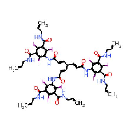 C=CCNC(=O)c1c(I)c(NC(=O)/C=C/C(/C=C/C(=O)Nc2c(I)c(C(=O)NCC=C)c(I)c(C(=O)NCC=C)c2I)/C=C/C(=O)Nc2c(I)c(C(=O)NCC=C)c(I)c(C(=O)NCC=C)c2I)c(I)c(C(=O)NCC=C)c1I